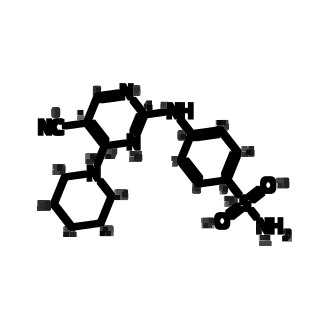 N#Cc1cnc(Nc2ccc(S(N)(=O)=O)cc2)nc1N1CCCCC1